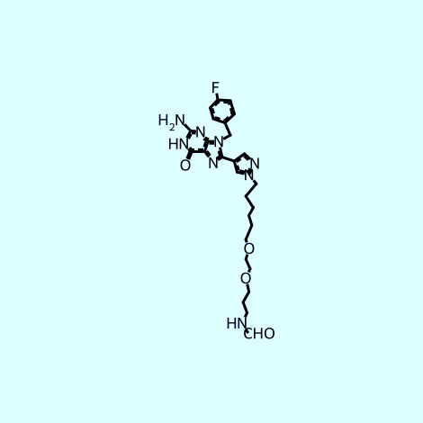 Nc1nc2c(nc(-c3cnn(CCCCCCOCCOCCCNC=O)c3)n2Cc2ccc(F)cc2)c(=O)[nH]1